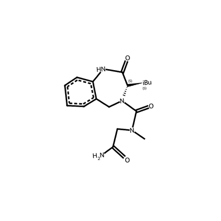 CC[C@H](C)[C@H]1C(=O)Nc2ccccc2CN1C(=O)N(C)CC(N)=O